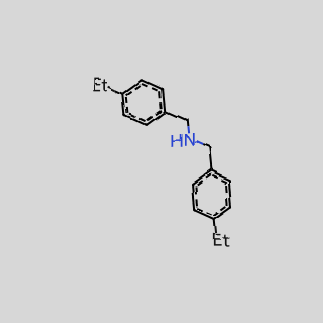 CCc1ccc(CNCc2ccc(CC)cc2)cc1